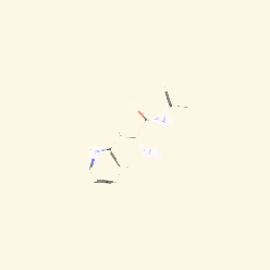 C=C(C)NC(=O)[C@H](N)Cc1ccccn1